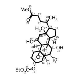 CCOC(=O)O[C@@H]1CC[C@]2(C)[C@@H]3[C@@H]([C@H](O)[C@H](CC)[C@@H]2C1)[C@@H]1CC[C@H](C(C)CCC(=O)OC)[C@@]1(C)C[C@@H]3O